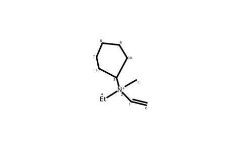 C=C[N+](C)(CC)C1CCCCC1